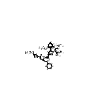 COCCNC(=O)C[C@H](CCC1CCCCC1)NC(=O)c1cc(-c2c(C)cccc2OC)n(C(COC)C(C)C)n1